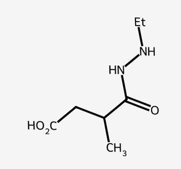 CCNNC(=O)C(C)CC(=O)O